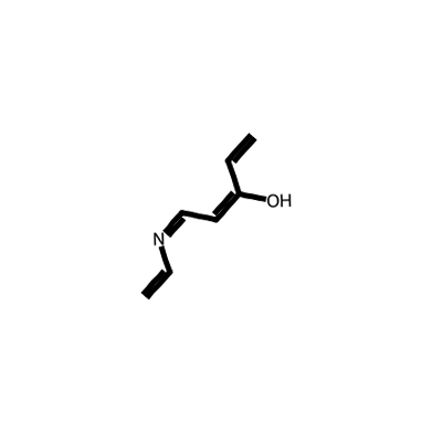 C=C/N=C\C=C(\O)C=C